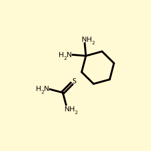 NC(N)=S.NC1(N)CCCCC1